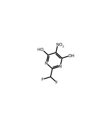 O=[N+]([O-])c1c(O)nc(C(F)F)nc1O